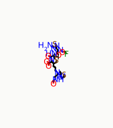 Nc1nc(/C(=N/OCF)C(=O)N[C@@H]2C(=O)N3C(C(=O)[O-])=C(/C=C/Cn4cc5scc[n+]5c4CNC=O)CS[C@H]23)ns1